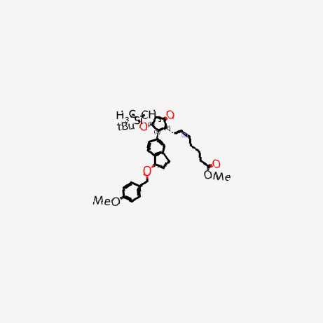 COC(=O)CCC/C=C\C[C@H]1C(=O)C[C@@H](O[Si](C)(C)C(C)(C)C)[C@@H]1c1ccc2c(c1)CCC2OCc1ccc(OC)cc1